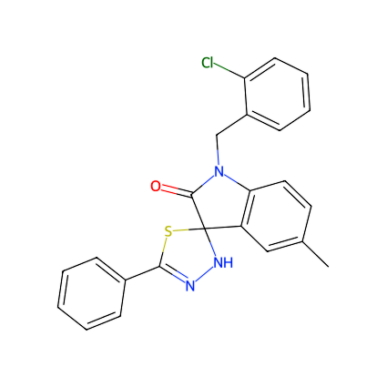 Cc1ccc2c(c1)C1(NN=C(c3ccccc3)S1)C(=O)N2Cc1ccccc1Cl